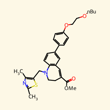 CCCCOCCOc1ccc(-c2ccc3c(c2)C=C(C(=O)OC)CCN3Cc2sc(C)nc2C)cc1